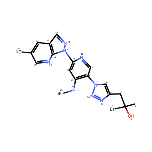 CCC(C)(O)Cc1cn(-c2cnc(-n3ncc4cc(C#N)cnc43)cc2NC(C)C)nn1